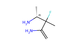 C=C(N)C(C)(F)[C@@H](C)N